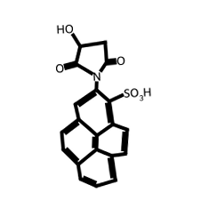 O=C1CC(O)C(=O)N1c1cc2ccc3cccc4ccc(c1S(=O)(=O)O)c2c34